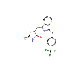 O=C1NC(=O)C(Cc2cn(Cc3ccc(C(F)(F)F)cc3)c3ccccc23)S1